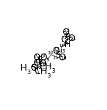 C[Si](C)(C)OS(=O)(=O)OCCCS(=O)(=O)CCCO[SH](=O)=O